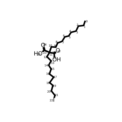 CCCCCCCCCCCC(CCCCCCCCCCI)(C(=O)O)C(=O)O